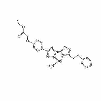 CCOC(=O)COc1ccc(-c2nc3c4cnn(CCc5ccccc5)c4nc(N)n3n2)cc1